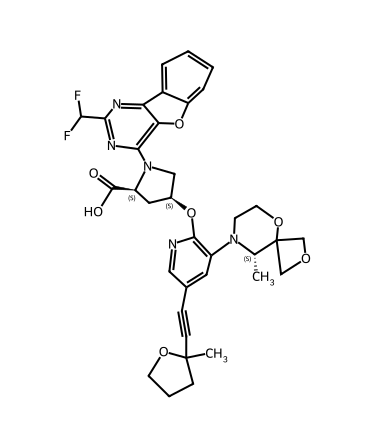 C[C@@H]1N(c2cc(C#CC3(C)CCCO3)cnc2O[C@H]2C[C@@H](C(=O)O)N(c3nc(C(F)F)nc4c3oc3ccccc34)C2)CCOC12COC2